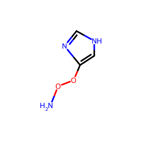 NOOc1c[nH]cn1